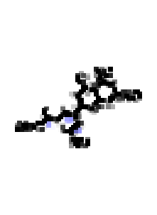 CO/C(C)=C/C=C(\C=C(/C)N=O)C1=CC(=O)C2C(N=O)=CC(N=O)=CC2C1